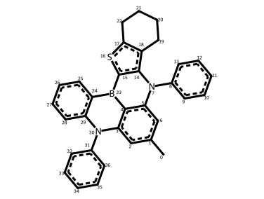 Cc1cc2c3c(c1)N(c1ccccc1)c1c(sc4c1CCCC4)B3c1ccccc1N2c1ccccc1